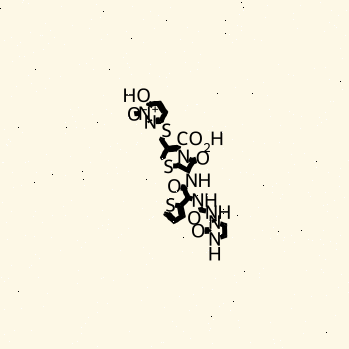 O=C(NC(C(=O)N[C@H]1C(=O)N2C(C(=O)O)=C(CSc3ccc(O)[n+]([O-])n3)CSC12)c1cccs1)NN1CCNC1=O